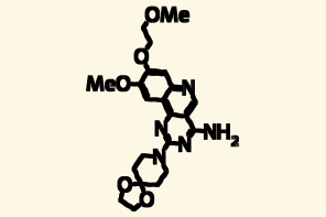 COCCOc1cc2ncc3c(N)nc(N4CCC5(CC4)OCCO5)nc3c2cc1OC